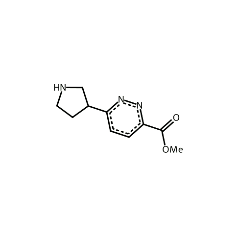 COC(=O)c1ccc(C2CCNC2)nn1